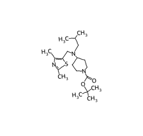 Cc1nc(C)c(CN(CC(C)C)C2CCN(C(=O)OC(C)(C)C)CC2)s1